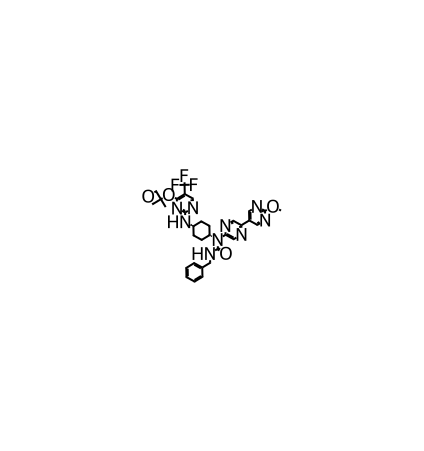 COc1ncc(-c2cnc(N(C(=O)NCc3ccccc3)[C@H]3CC[C@H](Nc4ncc(C(F)(F)F)c(OC5(C)COC5)n4)CC3)cn2)cn1